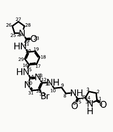 O=C1CC[C@H](C(=O)NCCCNc2nc(Nc3cccc(NC(=O)N4CCCC4)c3)ncc2Br)N1